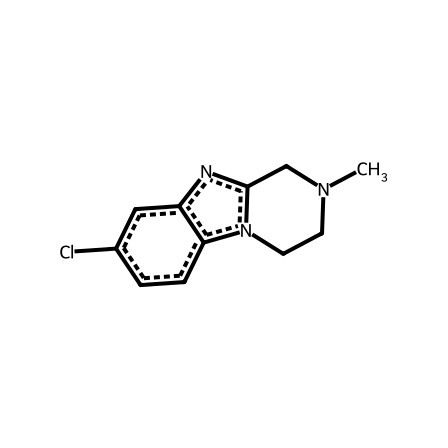 CN1CCn2c(nc3cc(Cl)ccc32)C1